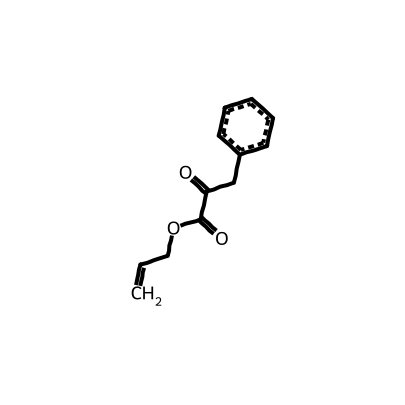 C=CCOC(=O)C(=O)Cc1ccccc1